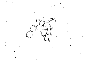 C=N/C=C\C(=N/C)N1C(C(C)C#N)=CNC1c1ccc2ccccc2c1